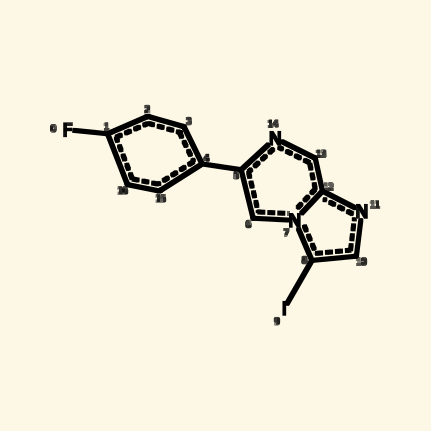 Fc1ccc(-c2cn3c(I)cnc3cn2)cc1